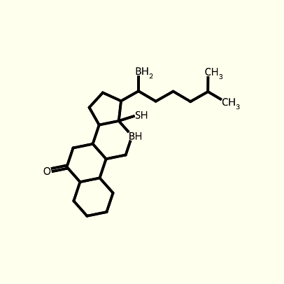 BC(CCCC(C)C)C1CCC2C3CC(=O)C4CCCCC4C3CBC12S